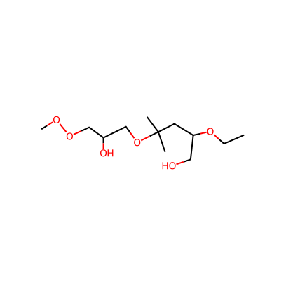 CCOC(CO)CC(C)(C)OCC(O)COOC